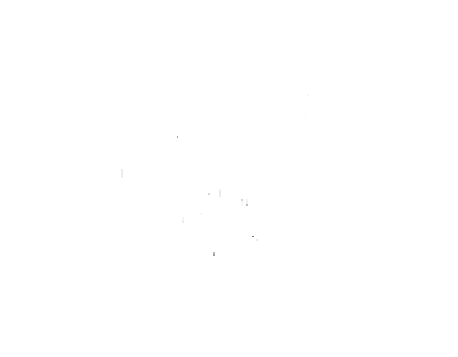 CCc1cncc(NC(=O)c2nccnc2N2CC(Oc3cc(F)cc(Cl)c3)C2)c1